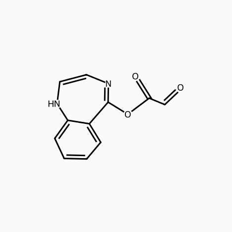 O=CC(=O)OC1=NC=CNc2ccccc21